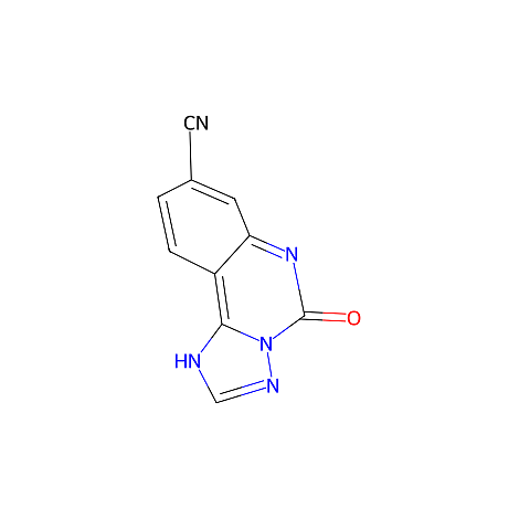 N#Cc1ccc2c(c1)nc(=O)n1nc[nH]c21